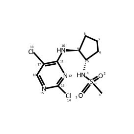 CS(=O)(=O)N[C@H]1CCC[C@@H]1Nc1nc(Cl)ncc1Cl